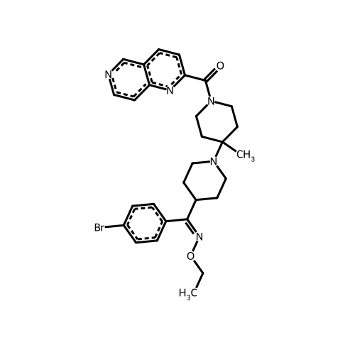 CCON=C(c1ccc(Br)cc1)C1CCN(C2(C)CCN(C(=O)c3ccc4cnccc4n3)CC2)CC1